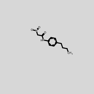 CCCCc1ccc(NC(=O)C[N+](=O)[O-])cc1